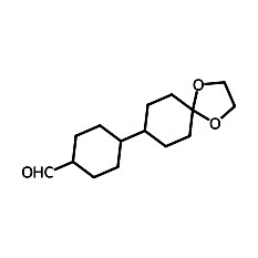 O=CC1CCC(C2CCC3(CC2)OCCO3)CC1